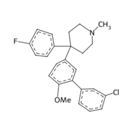 COc1ccc(C2(c3ccc(F)cc3)CCN(C)CC2)cc1-c1cccc(Cl)c1